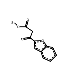 CC(C)(C)OC(=O)CC(=O)c1cc2ccccc2o1